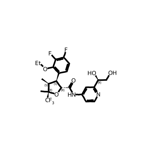 CCOc1c([C@H]2[C@H](C(=O)Nc3ccnc([C@@H](O)CO)c3)O[C@@](C)(C(F)(F)F)[C@H]2C)ccc(F)c1F